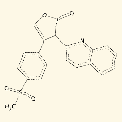 CS(=O)(=O)c1ccc(C2=COC(=O)C2c2ccc3ccccc3n2)cc1